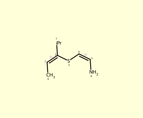 C/C=C(\S/C=C\N)C(C)C